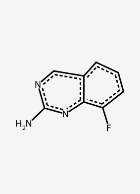 Nc1ncc2cccc(F)c2n1